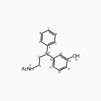 CC(=O)NCCN(c1ccccc1)c1cccc(O)c1